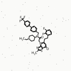 CCN1CCC(N(Cc2ccc(-c3ccc(C(F)(F)F)cc3)cc2)C(=O)Cn2c(CCc3cccc(F)c3F)cc(=O)c3sc(C)nc32)CC1